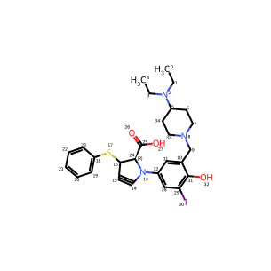 CCN(CC)C1CCN(Cc2cc(N3C#CC(Sc4ccccc4)[C@H]3C(=O)O)cc(I)c2O)CC1